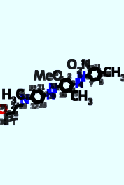 COc1cc(/N=N/c2ccc(C)cc2[N+](=O)[O-])c(C)cc1/N=N/c1ccc(N(C)CCCC(=O)C(C)C)cc1